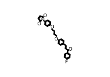 O=C(C=Cc1ccc(OCCCCOc2ccc(N3C(=O)C=CC3=O)cc2)cc1)c1ccc(F)cc1